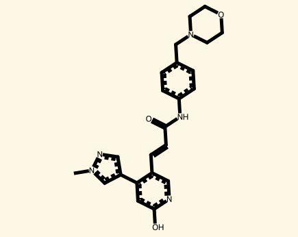 Cn1cc(-c2cc(O)ncc2C=CC(=O)Nc2ccc(CN3CCOCC3)cc2)cn1